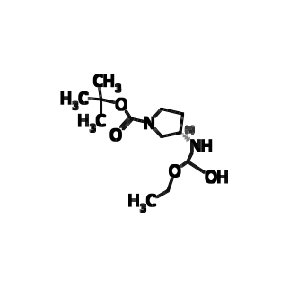 CCOC(O)N[C@H]1CCN(C(=O)OC(C)(C)C)C1